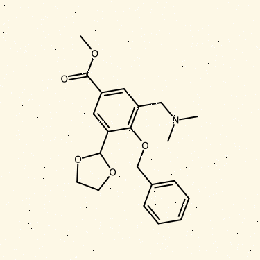 COC(=O)c1cc(CN(C)C)c(OCc2ccccc2)c(C2OCCO2)c1